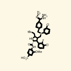 COc1cc(C(=O)O)ccc1NC(=O)[C@@H]1NC(CC(C)(C)C)C(CN(Cc2ccc(/C(=N/N)NN)cc2)c2cccc(Cl)c2)C1c1cccc(Cl)c1F